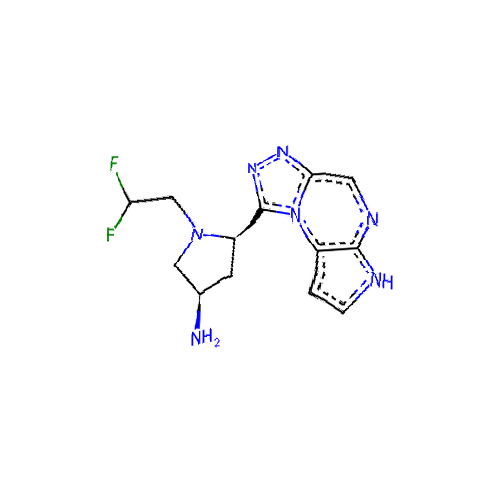 N[C@@H]1C[C@H](c2nnc3cnc4[nH]ccc4n23)N(CC(F)F)C1